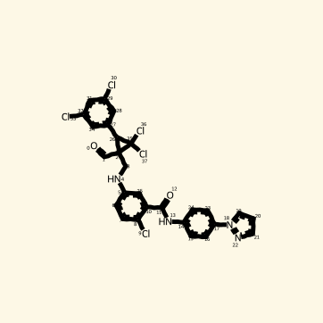 O=CC1(CNc2ccc(Cl)c(C(=O)Nc3ccc(-n4cccn4)cc3)c2)C(c2cc(Cl)cc(Cl)c2)C1(Cl)Cl